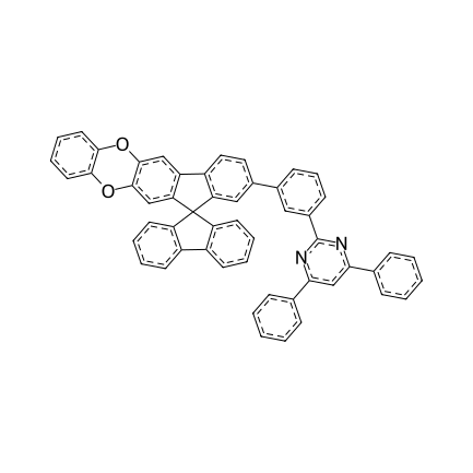 c1ccc(-c2cc(-c3ccccc3)nc(-c3cccc(-c4ccc5c(c4)C4(c6ccccc6-c6ccccc64)c4cc6c(cc4-5)Oc4ccccc4O6)c3)n2)cc1